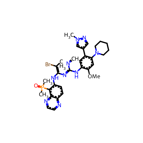 C=N/C(=N\C(Nc1ccc2nccnc2c1P(C)(C)=O)=C(/C)Br)Nc1cc(-c2cnn(C)c2)c(N2CCCCC2)cc1OC